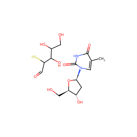 Cc1cn([C@H]2C[C@H](O)[C@@H](CO)O2)c(=O)[nH]c1=O.O=CC(S)C(O)C(O)CO